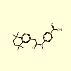 CN(C(=O)Cc1ccc2c(c1)C(C)(C)CCC2(C)C)c1ccc(C(=O)O)cc1